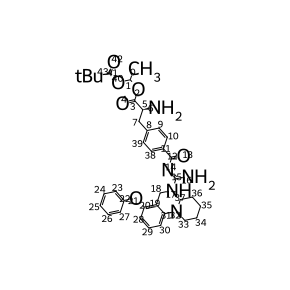 CC(OC(=O)[C@@H](N)Cc1ccc(C(=O)/N=C(\N)NCc2c(Oc3ccccc3)cccc2N2CCCCC2)cc1)OC(=O)C(C)(C)C